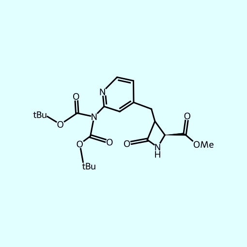 COC(=O)[C@H]1NC(=O)C1Cc1ccnc(N(C(=O)OC(C)(C)C)C(=O)OC(C)(C)C)c1